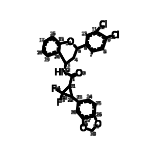 O=C(NC1CC(c2ccc(Cl)c(Cl)c2)Oc2ccccc21)C1C(c2ccc3c(c2)OCO3)C1(F)F